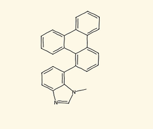 Cn1cnc2cccc(-c3cccc4c5ccccc5c5ccccc5c34)c21